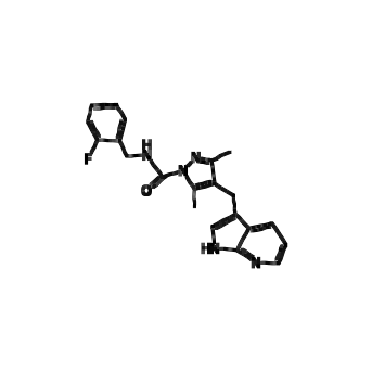 Cc1nn(C(=O)NCc2ccccc2F)c(C)c1Cc1c[nH]c2ncccc12